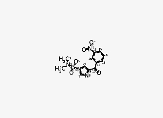 CN(C)S(=O)(=O)n1cnc(C(=O)c2cccc([N+](=O)[O-])c2)c1